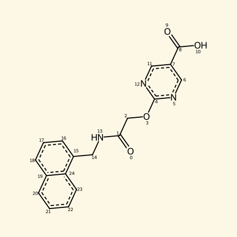 O=C(COc1ncc(C(=O)O)cn1)NCc1cccc2ccccc12